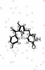 Cc1ccc(C(=S)c2c(C)cc(Cc3ccc(=O)[nH]n3)n2C)cc1